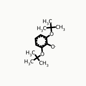 CC(C)(C)Oc1cccc(OC(C)(C)C)c1[O]